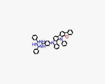 c1ccc(C2NC(c3ccccc3)NC(c3ccc(-n4c5ccccc5c5c4ccc4c6ccc7c8ccccc8oc7c6n(-c6ccccc6)c45)cc3)N2)cc1